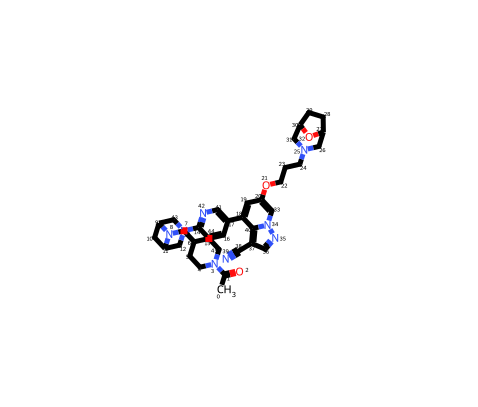 CC(=O)N1CCC(CN2C3CC2CN(c2ccc(-c4cc(OCCCN5CC6CCC(C5)O6)cn5ncc(C#N)c45)cn2)C3)CC1